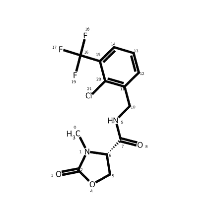 CN1C(=O)OC[C@H]1C(=O)NCc1cccc(C(F)(F)F)c1Cl